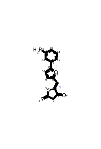 O=C1CC(=S)S/C1=C\c1ccc(-c2cccc(P)c2)o1